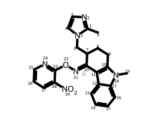 Cc1nccn1CC1CCc2c(c3ccccc3n2C)/C1=N/Oc1ncccc1[N+](=O)[O-]